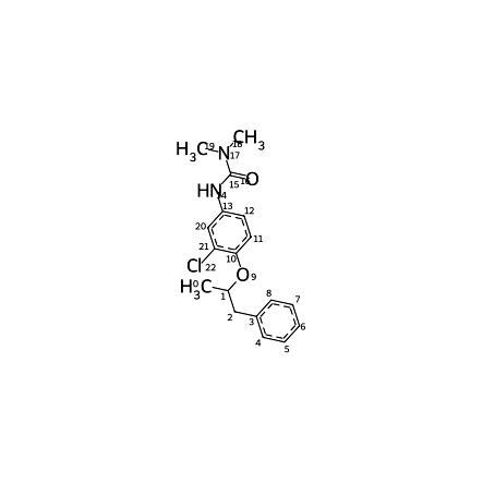 CC(Cc1ccccc1)Oc1ccc(NC(=O)N(C)C)cc1Cl